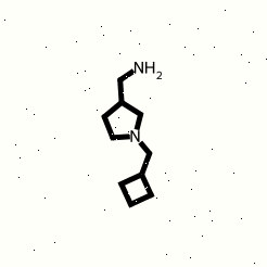 NCC1CCN(CC2CCC2)C1